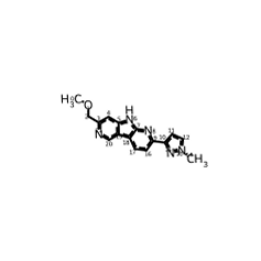 COCc1cc2[nH]c3nc(-c4ccn(C)n4)ccc3c2cn1